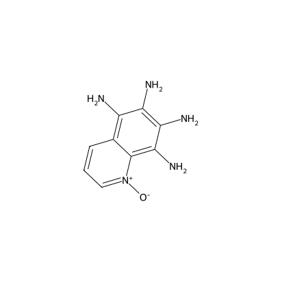 Nc1c(N)c(N)c2c(ccc[n+]2[O-])c1N